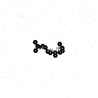 C1=CC2=CC=C(c3ccc4c(c3)NC(C3C=C(c5ccccc5)N=C(c5ccccc5)N3)C=C4)NC2C=C1c1ccc(-c2ccc3ccc4c(c3n2)NC(c2ccccc2)C=C4)c2ccccc12